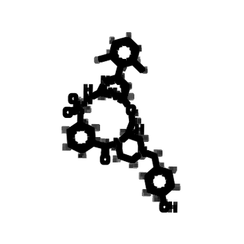 Cc1cccc(C)c1-c1cc2nc(n1)NS(=O)(=O)c1cccc(c1)C(=O)N1CCN(Cc3ccc(O)cc3)C[C@@H]1CO2